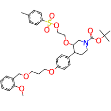 COc1ccccc1COCCCOc1ccc(C2CCN(C(=O)OC(C)(C)C)CC2OCCOS(=O)(=O)c2ccc(C)cc2)cc1